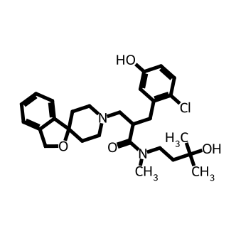 CN(CCC(C)(C)O)C(=O)C(Cc1cc(O)ccc1Cl)CN1CCC2(CC1)OCc1ccccc12